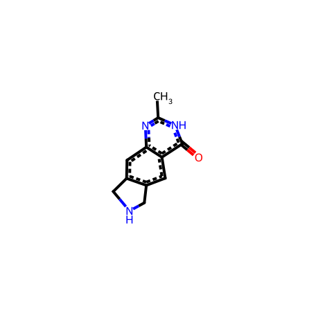 Cc1nc2cc3c(cc2c(=O)[nH]1)CNC3